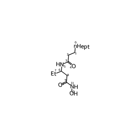 CCCCCCCCCC(=O)NC(CC)CC(=O)NO